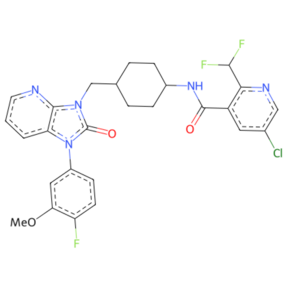 COc1cc(-n2c(=O)n(CC3CCC(NC(=O)c4cc(Cl)cnc4C(F)F)CC3)c3ncccc32)ccc1F